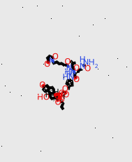 CCCC1O[C@@H]2C[C@H]3[C@@H]4CCC5=CC(=O)C=C[C@]5(C)[C@H]4[C@@H](O)C[C@]3(C)[C@]2(C(=O)COC(=O)OCc2ccc(NC(=O)[C@H](CCCNC(N)=O)NC(=O)[C@@H](NC(=O)CCCCCN3C(=O)C=CC3=O)C(C)C)cc2)O1